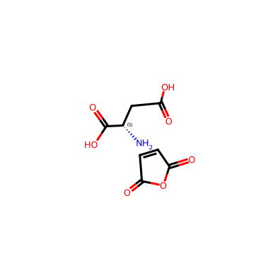 N[C@@H](CC(=O)O)C(=O)O.O=C1C=CC(=O)O1